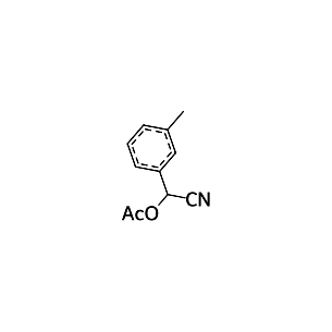 CC(=O)OC(C#N)c1cccc(C)c1